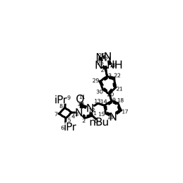 CCCCc1cn(C2C(C(C)C)CC2C(C)C)c(=O)n1Cc1cnccc1-c1ccc(-c2nnn[nH]2)cc1